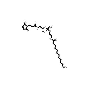 CC(C)(C)C(C)(OCCNC(=O)CCCCCCCCCCC=O)OCCNC(=O)CCN1C(=O)C=CC1=O